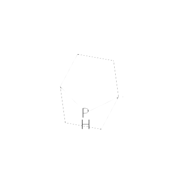 C1CC2CC[C]1P2